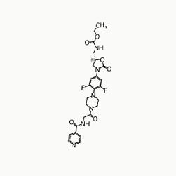 CCOC(=O)NC[C@H]1CN(c2cc(F)c(N3CCN(C(=O)CNC(=O)c4ccncc4)CC3)c(F)c2)C(=O)O1